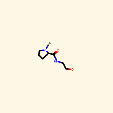 CC(=O)N1CCCC1C(=O)NCC[O]